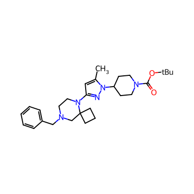 Cc1cc(N2CCN(Cc3ccccc3)CC23CCC3)nn1C1CCN(C(=O)OC(C)(C)C)CC1